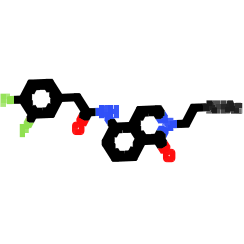 CC(=O)NCCn1ccc2c(NC(=O)Cc3ccc(F)c(F)c3)cccc2c1=O